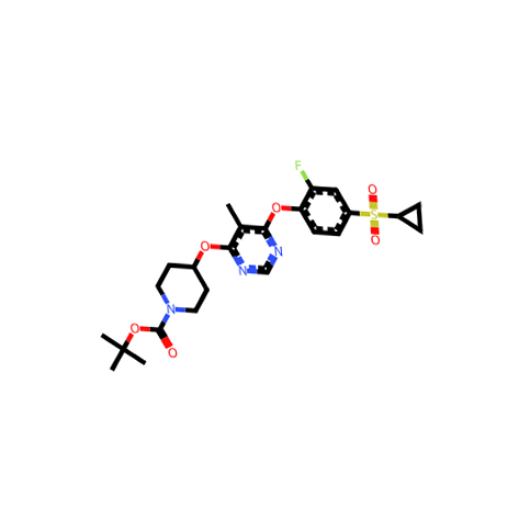 Cc1c(Oc2ccc(S(=O)(=O)C3CC3)cc2F)ncnc1OC1CCN(C(=O)OC(C)(C)C)CC1